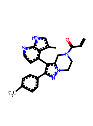 C=CC(=O)N1CCn2nc(-c3ccc(C(F)(F)F)cc3)c(-c3ccnc4[nH]cc(C)c34)c2C1